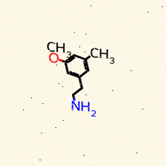 COc1cc(C)cc(CCN)c1